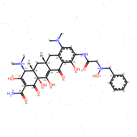 CN(C)c1cc(NC(=O)CN(O)Cc2ccccc2)c(O)c2c1C[C@H]1C[C@H]3[C@H](N(C)C)C(O)=C(C(N)=O)C(=O)[C@@]3(O)C(O)=C1C2=O